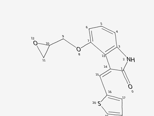 O=C1Nc2cccc(OCC3CO3)c2C1=Cc1cccs1